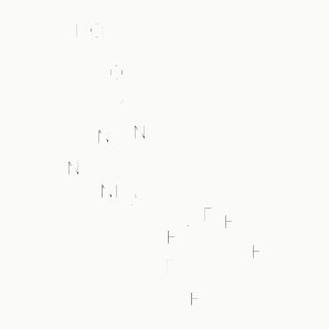 Nc1nccn2c(C34CCC(CO)(CC3)OC4)nc(-c3ccc(C(F)(F)c4c(F)c(F)cc(F)c4F)cc3)c12